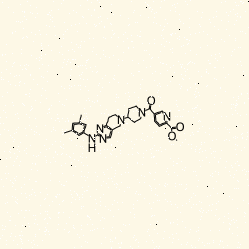 COC(=O)c1ccc(C(=O)N2CCC(N3CCc4nc(Nc5cc(C)cc(C)c5)ncc4C3)CC2)cn1